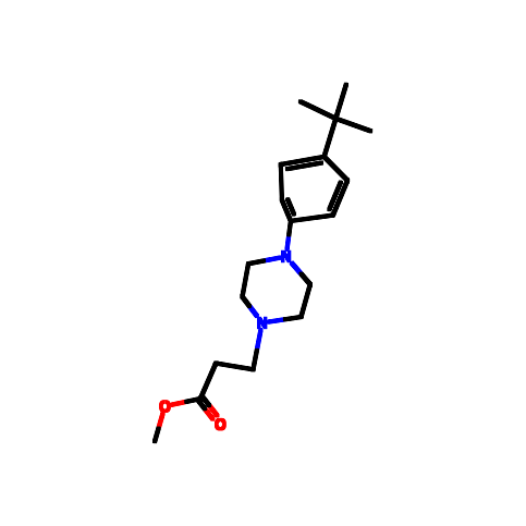 COC(=O)CCN1CCN(c2ccc(C(C)(C)C)cc2)CC1